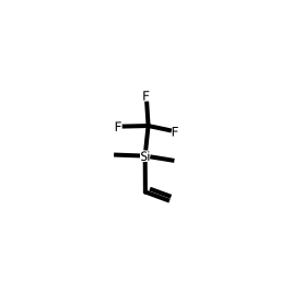 C=C[Si](C)(C)C(F)(F)F